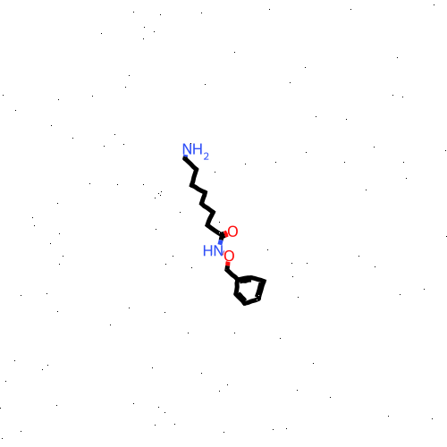 NCCCCCCCC(=O)NOCc1ccccc1